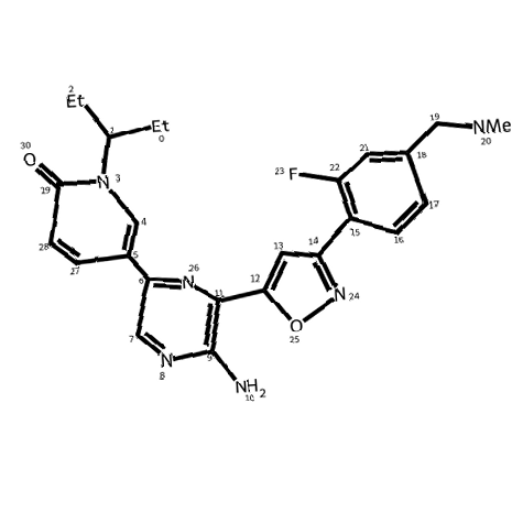 CCC(CC)n1cc(-c2cnc(N)c(-c3cc(-c4ccc(CNC)cc4F)no3)n2)ccc1=O